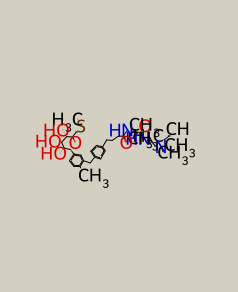 C#CC(C)(C)N(C)CCNC(=O)C(C)(C)NC(=O)CCCc1ccc(Cc2cc([C@@H]3OC(C#SC)[C@@H](O)[C@H](O)[C@H]3O)ccc2C)cc1